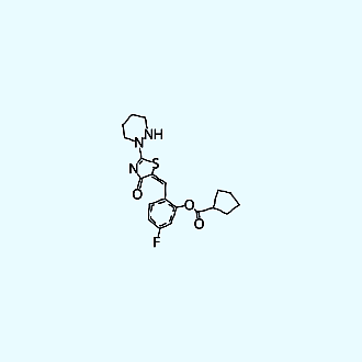 O=C1N=C(N2CCCCN2)S/C1=C/c1ccc(F)cc1OC(=O)C1CCCC1